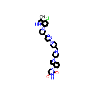 N#Cc1c[nH]c2c(N3CCC[C@@H](c4ccc(N5CCC(CN6CCC(n7ccc8c(N9CCC(=O)NC9=O)cccc87)CC6)CC5)nn4)C3)ccc(Cl)c12